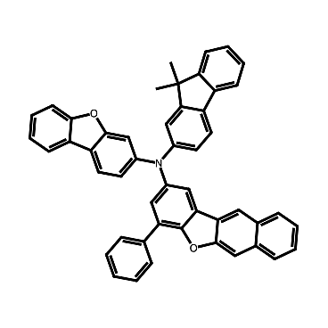 CC1(C)c2ccccc2-c2ccc(N(c3ccc4c(c3)oc3ccccc34)c3cc(-c4ccccc4)c4oc5cc6ccccc6cc5c4c3)cc21